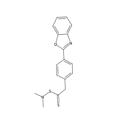 CN(C)SC(=S)Cc1ccc(-c2nc3ccccc3o2)cc1